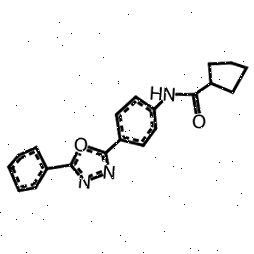 O=C(Nc1ccc(-c2nnc(-c3ccccc3)o2)cc1)C1CCCC1